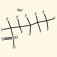 O=S(=O)([O-])C(F)(F)C(F)(F)C(F)(F)C(F)(F)C(F)(F)F.[Na+]